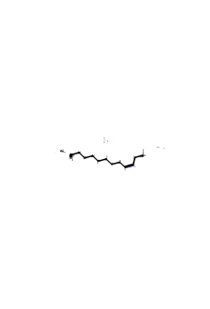 CCCCCC[C@@H](O)C/C=C\CCCCCCCC(=O)OCCCC.[Na]